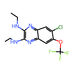 CCNc1nc2cc(Cl)c(OC(F)(F)F)cc2nc1NCC